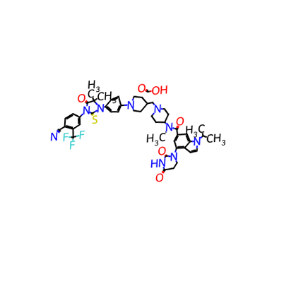 CC(C)n1ccc2c(N3CCC(=O)NC3=O)cc(C(=O)N(C)C3CCN(CC4CCN(c5ccc(N6C(=S)N(c7ccc(C#N)c(C(F)(F)F)c7)C(=O)C6(C)C)cc5)CC4)CC3)cc21.O=CO